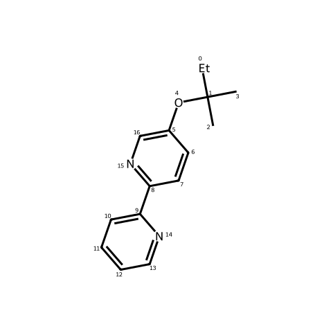 CCC(C)(C)Oc1ccc(-c2ccccn2)nc1